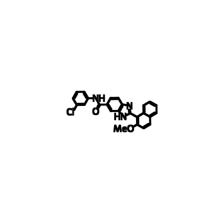 COc1ccc2ccccc2c1-c1nc2ccc(C(=O)Nc3cccc(Cl)c3)cc2[nH]1